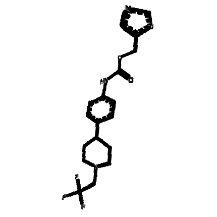 O=C(Nc1ccc(C2CCN(CC(F)(F)F)CC2)cc1)OCc1cnco1